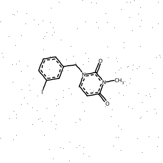 Cn1c(=O)ccn(Cc2cccc(I)c2)c1=O